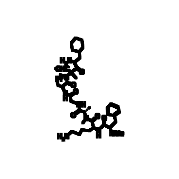 CN[C@@H](Cc1ccccc1)C(=O)N[C@@H](CCCCN)C(=O)N(C)[C@@H](C)C(=O)NCC(=O)N[C@@H](CC(C)C)C(=O)N(C)[C@@](C)([C]=O)C(=O)[C@@H](N)CC1CCCCC1